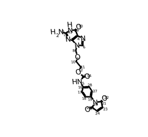 Nc1nc2c(ncn2COCCOC(=O)Nc2ccc(N3C(=O)C=CC3=O)cc2)c(=O)[nH]1